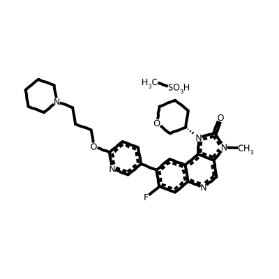 CS(=O)(=O)O.Cn1c(=O)n([C@H]2CCCOC2)c2c3cc(-c4ccc(OCCCN5CCCCC5)nc4)c(F)cc3ncc21